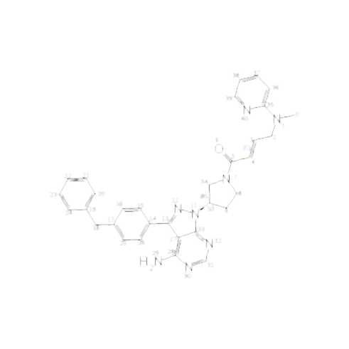 CN(C/C=C/C(=O)N1CC[C@@H](n2nc(-c3ccc(Cc4ccccc4)cc3)c3c(N)ncnc32)C1)c1ccccn1